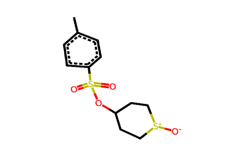 Cc1ccc(S(=O)(=O)OC2CC[S+]([O-])CC2)cc1